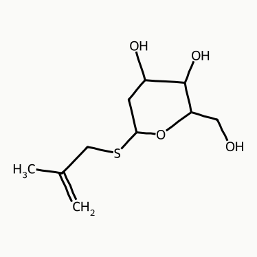 C=C(C)CSC1CC(O)C(O)C(CO)O1